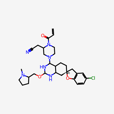 C=CC(=O)N1CCN(C2NC(OCC3CCCN3C)NC3C[C@@]4(CCC32)Cc2cc(Cl)ccc2O4)CC1CC#N